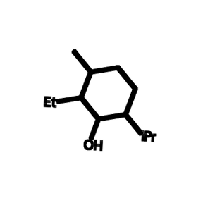 CCC1C(C)CCC(C(C)C)C1O